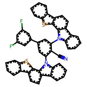 N#Cc1c(-n2c3ccccc3c3ccc4c5ccccc5sc4c32)cc(-c2cc(F)cc(F)c2)cc1-n1c2ccccc2c2ccc3c4ccccc4sc3c21